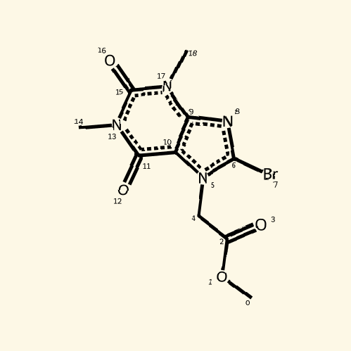 COC(=O)Cn1c(Br)nc2c1c(=O)n(C)c(=O)n2C